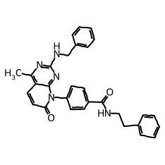 Cc1nc(NCc2ccccc2)nc2c1ccc(=O)n2-c1ccc(C(=O)NCCc2ccccc2)cc1